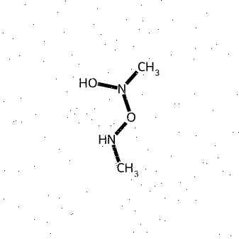 CNON(C)O